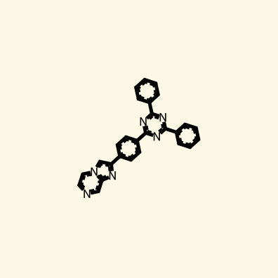 c1ccc(-c2nc(-c3ccccc3)nc(-c3ccc(-c4cn5ccncc5n4)cc3)n2)cc1